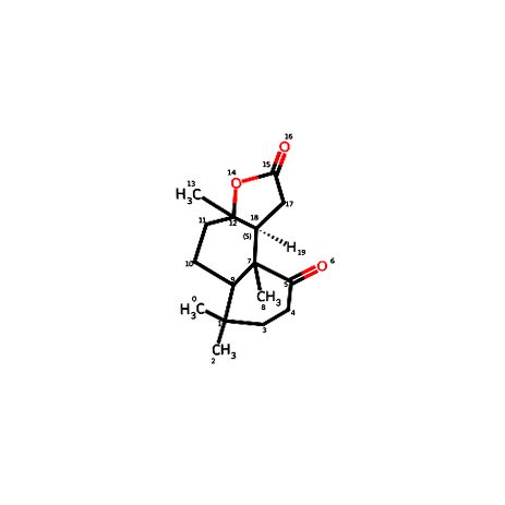 CC1(C)CCC(=O)C2(C)C1CCC1(C)OC(=O)C[C@H]12